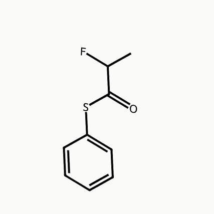 CC(F)C(=O)Sc1ccccc1